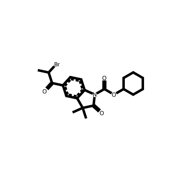 CC(Br)C(=O)c1ccc2c(c1)C(C)(C)C(=O)N2C(=O)OC1CCCCC1